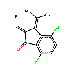 CC/C=C1/C(=O)c2c(Cl)ccc(Cl)c2C1=C(C#N)C#N